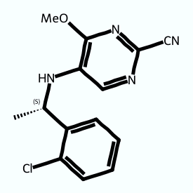 COc1nc(C#N)ncc1N[C@@H](C)c1ccccc1Cl